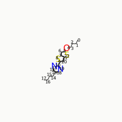 CCCCOc1cc2sc(-c3ncc(CCCC)cn3)cc2s1